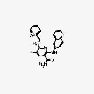 NC(=O)c1cc(F)c(NCc2ccccn2)nc1Nc1ccc2ncccc2c1